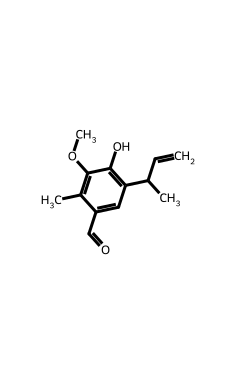 C=CC(C)c1cc(C=O)c(C)c(OC)c1O